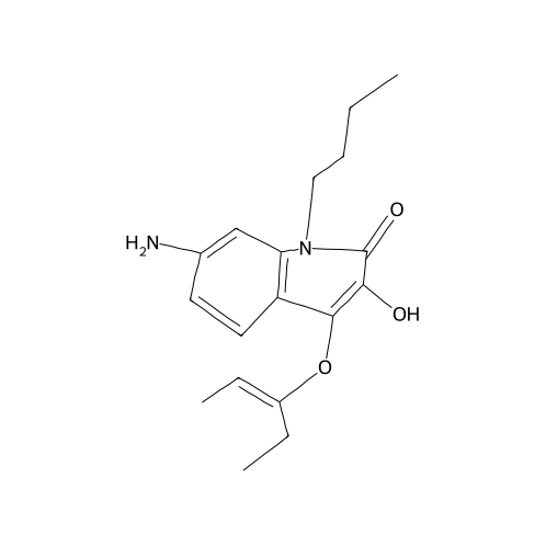 CC=C(CC)Oc1c(O)c(=O)n(CCCC)c2cc(N)ccc12